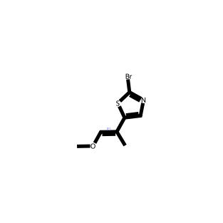 CO/C=C(\C)c1cnc(Br)s1